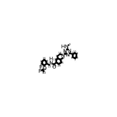 CNc1nc(-c2ccccc2)nc(N2CCc3cc(C(=O)NCc4ccccc4OC(F)(F)F)ccc3C2)n1